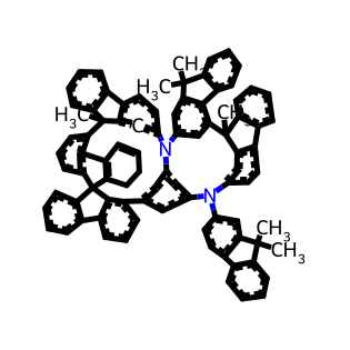 CC1(C)c2ccccc2-c2ccc(N3c4cc5cc(c4)N(c4ccc6c(c4)C(C)(c4ccccc4-6)c4cccc6c4C4=C(CCC=C4)C64c6ccccc6-c6cccc-5c64)c4cc5c(c(c4)C4(C)c6ccccc6-c6ccc3cc64)-c3ccccc3C5(C)C)cc21